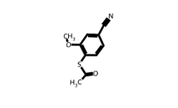 COc1cc(C#N)ccc1SC(C)=O